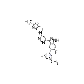 CN/C=C(\C=N)c1cc2c(-c3cc(N4CCc5oc(C)nc5C4)ncn3)n[nH]c2cc1F